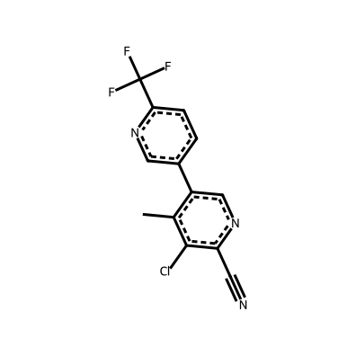 Cc1c(-c2ccc(C(F)(F)F)nc2)cnc(C#N)c1Cl